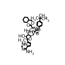 C[C@H](NP(=O)(OC[C@H]1O[C@@](C)(c2ccc3c(N)ncnn23)[C@H](O)[C@@H]1O)Oc1ccc(C(C)(C)C)cc1)C(=O)OCC1CCCCC1